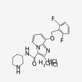 Cc1nc2c(OCc3c(F)cccc3F)cccn2c1C(=O)N[C@H]1CCCNC1.Cl.Cl